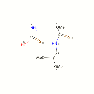 COC(=S)NCC(OC)OC.NC(O)=S